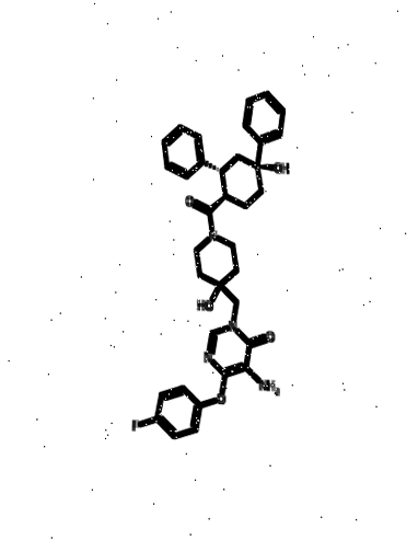 Nc1c(Oc2ccc(F)cc2)ncn(CC2(O)CCN(C(=O)[C@@H]3CC[C@@](O)(c4ccccc4)C[C@H]3c3ccccc3)CC2)c1=O